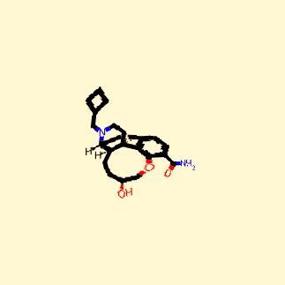 C[C@]12CCN(CC3CCC3)[C@@H]3Cc4ccc(C(N)=O)c(c41)OC[C@@H](O)CC[C@@H]32